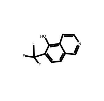 Oc1c(C(F)(F)F)ccc2cnccc12